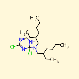 CCCCC(CC)CN(CC(CC)CCCC)C1(Cl)N=C(Cl)N=CN1